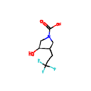 O=C(O)N1CC(O)C(CC(F)(F)F)C1